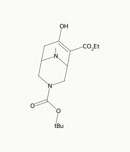 CCOC(=O)C1=C(O)CC2CN(C(=O)OC(C)(C)C)CC1N2C